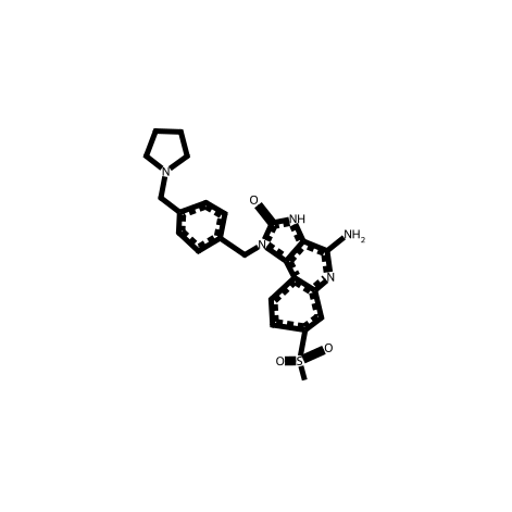 CS(=O)(=O)c1ccc2c(c1)nc(N)c1[nH]c(=O)n(Cc3ccc(CN4CCCC4)cc3)c12